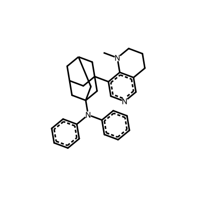 CN1CCCc2cncc(C34CC5CC(C3)CC(N(c3ccccc3)c3ccccc3)(C5)C4)c21